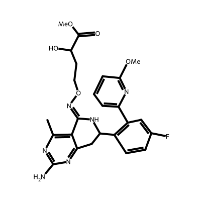 COC(=O)C(O)CCON=C1NC(c2ccc(F)cc2-c2cccc(OC)n2)Cc2nc(N)nc(C)c21